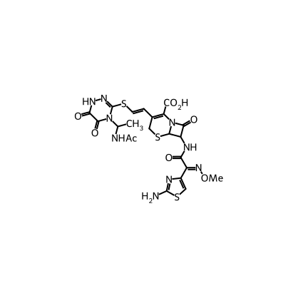 CON=C(C(=O)NC1C(=O)N2C(C(=O)O)=C(C=CSc3n[nH]c(=O)c(=O)n3C(C)NC(C)=O)CSC12)c1csc(N)n1